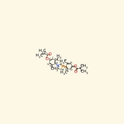 C=C(C)C(=O)Oc1cc(C)c(N2C=[PH](c3c(C)cc(OC(=O)C(=C)C)cc3C)CC2)c(C)c1